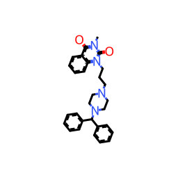 Cn1c(=O)c2ccccc2n(CCCN2CCN(C(c3ccccc3)c3ccccc3)CC2)c1=O